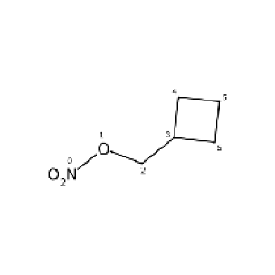 O=[N+]([O-])OCC1CCC1